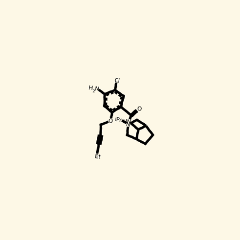 CCC#CCOc1cc(N)c(Cl)cc1C(=O)NC1C2CCC1CN(C(C)C)C2